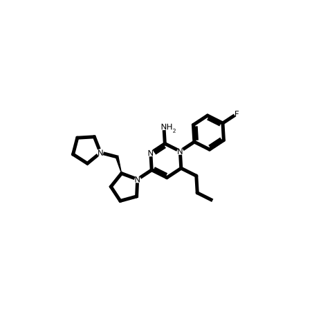 CCCC1C=C(N2CCC[C@H]2CN2CCCC2)N=C(N)N1c1ccc(F)cc1